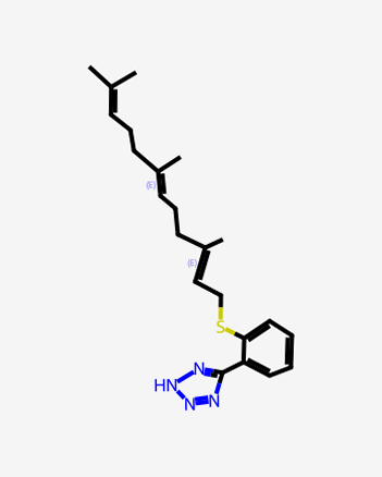 CC(C)=CCC/C(C)=C/CC/C(C)=C/CSc1ccccc1-c1nn[nH]n1